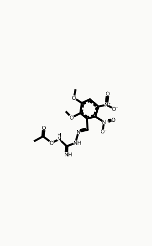 COc1cc([N+](=O)[O-])c([N+](=O)[O-])c(C=NNC(=N)NOC(C)=O)c1OC